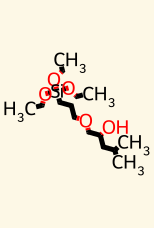 CCO[Si](CCCOCC(O)CC(C)C)(OCC)OCC